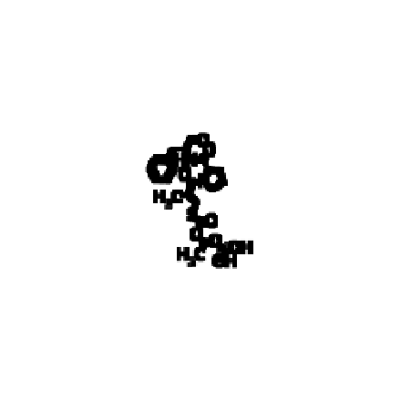 CC(OC(=O)SC[C@@H](C)C(=O)N1CCC[C@H]1C(=O)N[C@@H](C=O)Cc1ccccc1)ON(O)O